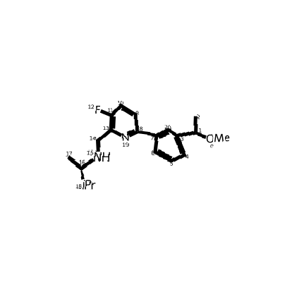 COC(C)c1cccc(-c2ccc(F)c(CN[C@H](C)C(C)C)n2)c1